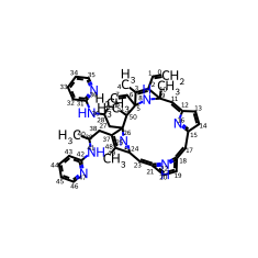 C=CC1=C(C)C2(C=C)NC1(C)C=C1C=CC(=N1)C=c1ccc([nH]1)=CC1=NC(CC(C)Nc3ccccn3)(C(CC(C)Nc3ccccn3)=C1C)C2C